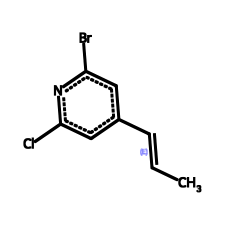 C/C=C/c1cc(Cl)nc(Br)c1